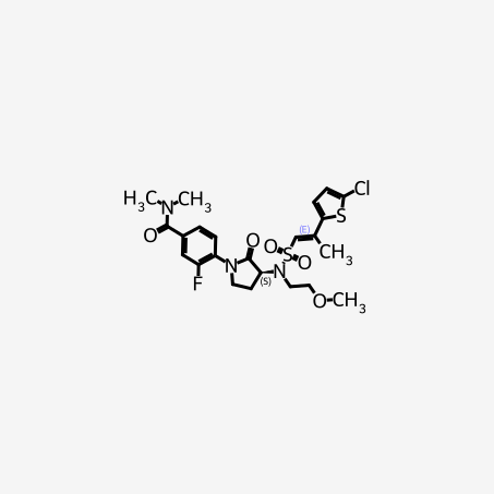 COCCN([C@H]1CCN(c2ccc(C(=O)N(C)C)cc2F)C1=O)S(=O)(=O)/C=C(\C)c1ccc(Cl)s1